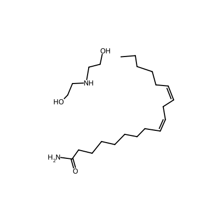 CCCCC/C=C\C/C=C\CCCCCCCC(N)=O.OCCNCCO